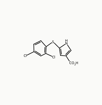 O=C(O)c1c[nH]c(Sc2ccc(Cl)cc2Cl)c1